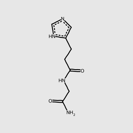 NC(=O)CNC(=O)CCc1cnc[nH]1